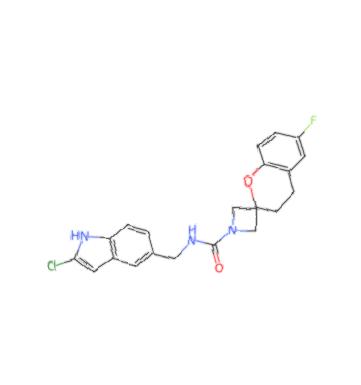 O=C(NCc1ccc2[nH]c(Cl)cc2c1)N1CC2(CCc3cc(F)ccc3O2)C1